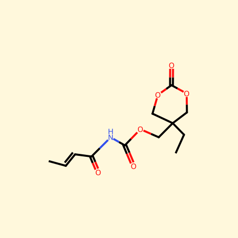 CC=CC(=O)NC(=O)OCC1(CC)COC(=O)OC1